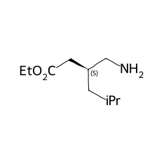 CCOC(=O)C[C@@H](CN)CC(C)C